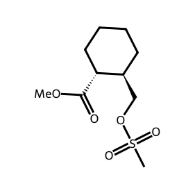 COC(=O)[C@@H]1CCCC[C@H]1COS(C)(=O)=O